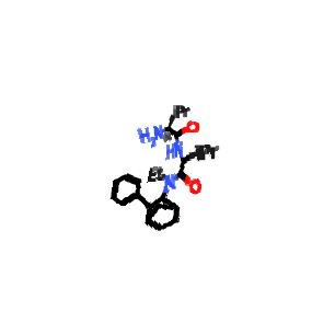 CCN(C(=O)C(NC(=O)[C@@H](N)C(C)C)C(C)C)C1C2CCC(C2)C1c1ccccc1